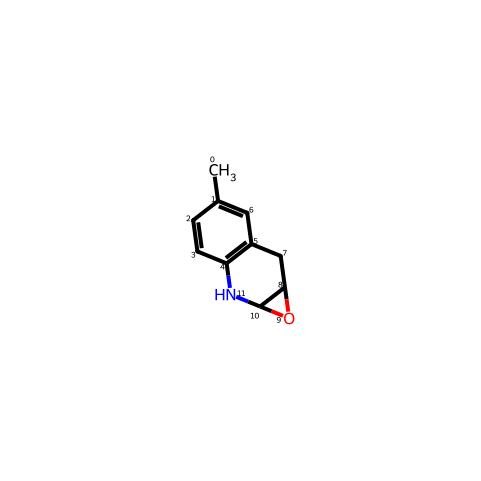 Cc1ccc2c(c1)CC1OC1N2